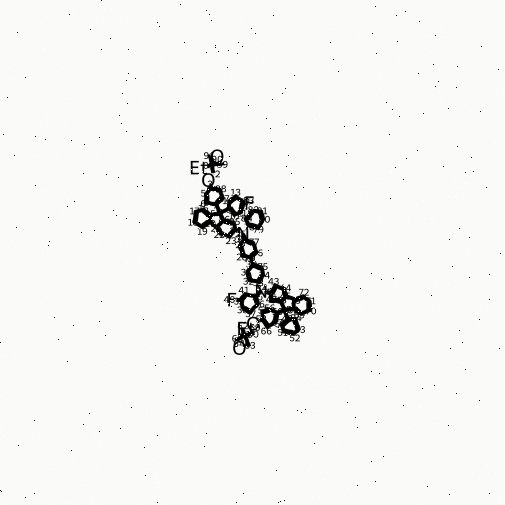 CCC1(COc2ccc(C3(c4ccccc4)c4ccccc4-c4ccc(N(c5ccc(-c6ccc(N(c7cccc(F)c7)c7ccc8c(c7)C(c7ccccc7)(c7ccc(OCC9(CC)COC9)cc7)c7ccccc7-8)cc6)cc5)c5cccc(F)c5)cc43)cc2)COC1